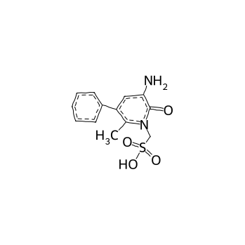 Cc1c(-c2ccccc2)cc(N)c(=O)n1CS(=O)(=O)O